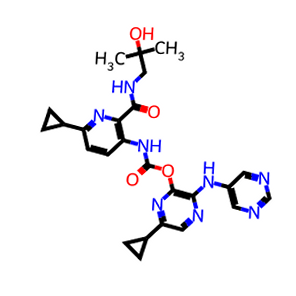 CC(C)(O)CNC(=O)c1nc(C2CC2)ccc1NC(=O)Oc1nc(C2CC2)cnc1Nc1cncnc1